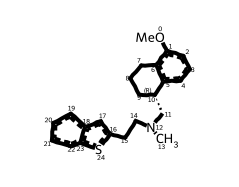 COc1cccc2c1CCC[C@H]2CN(C)CCc1cc2ccccc2s1